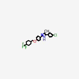 Cc1nc(-c2ccc(OCC3CCC(C(F)(F)F)CC3)cc2)[nH]c1-c1ccc(Cl)cc1